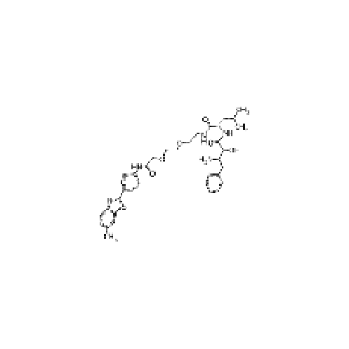 Cc1ccc2nc(-c3ccc(NC(=O)COCCOCCNC(=O)[C@H](CC(C)C)NC(=O)[C@@H](O)[C@H](N)Cc4ccccc4)cc3)sc2c1